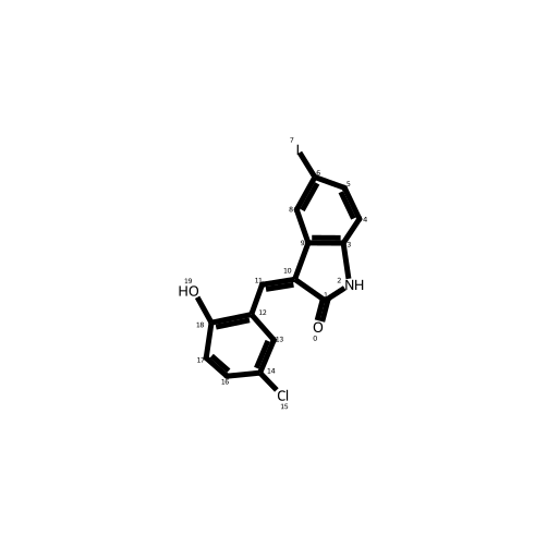 O=C1Nc2ccc(I)cc2C1=Cc1cc(Cl)ccc1O